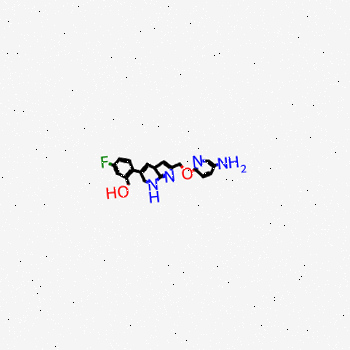 Nc1ccc(OCC2=CC3C=C(c4ccc(F)cc4CO)CNC3=N2)nc1